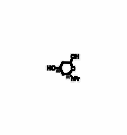 CCC[C@@H]1C[C@@H](O)CC(O)O1